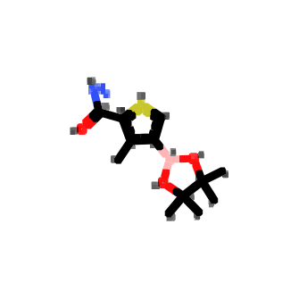 Cc1c(B2OC(C)(C)C(C)(C)O2)csc1C(N)=O